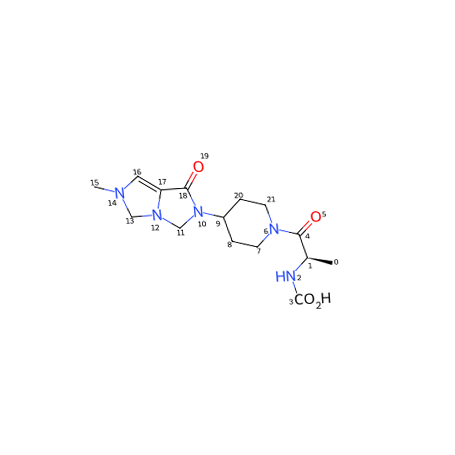 C[C@@H](NC(=O)O)C(=O)N1CCC(N2CN3CN(C)C=C3C2=O)CC1